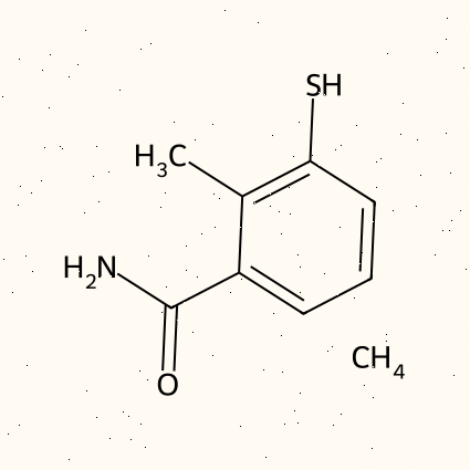 C.Cc1c(S)cccc1C(N)=O